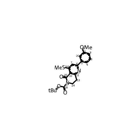 COc1cccc(-c2cc(SC)c3c(n2)CCN(C(=O)OC(C)(C)C)C3=O)c1